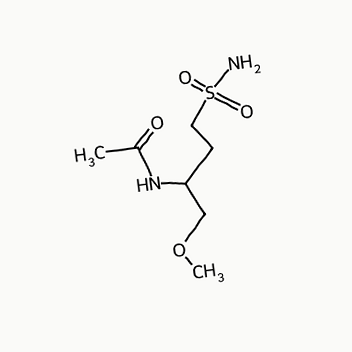 COCC(CCS(N)(=O)=O)NC(C)=O